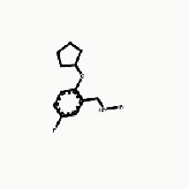 CC(C)NCc1cc(F)ccc1OC1CCCC1